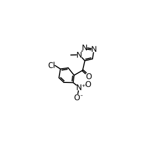 Cn1nncc1C(=O)c1cc(Cl)ccc1[N+](=O)[O-]